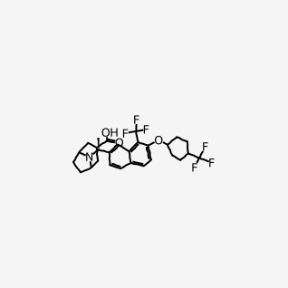 C[C@@H](c1ccc2ccc(OC3CCC(C(F)(F)F)CC3)c(C(F)(F)F)c2c1)N1C2CCC1CC(C(=O)O)C2